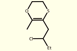 CCC(Cl)CC1=C(C)OCCS1